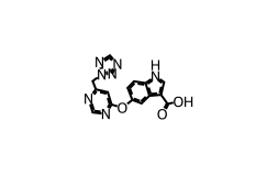 O=C(O)c1c[nH]c2ccc(Oc3cc(Cn4ncnn4)ncn3)cc12